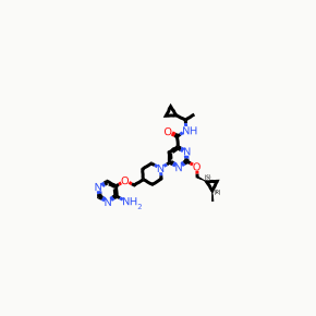 CC(NC(=O)c1cc(N2CCC(COc3cncnc3N)CC2)nc(OC[C@H]2C[C@H]2C)n1)C1CC1